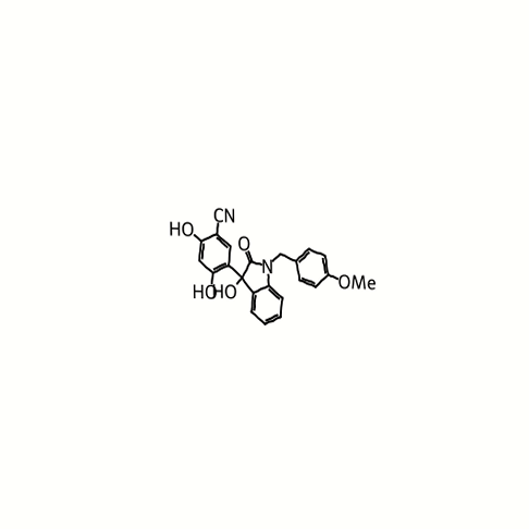 COc1ccc(CN2C(=O)C(O)(c3cc(C#N)c(O)cc3O)c3ccccc32)cc1